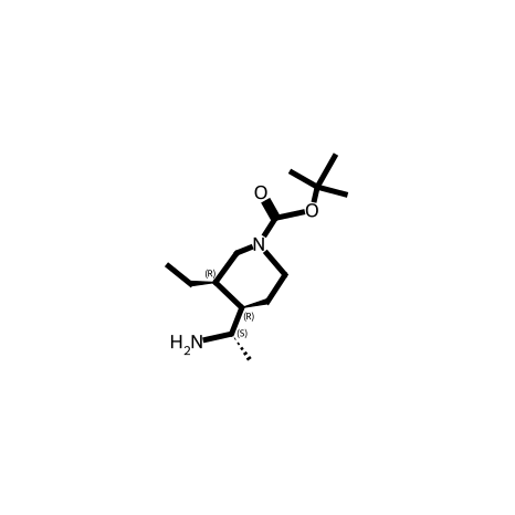 CC[C@H]1CN(C(=O)OC(C)(C)C)CC[C@H]1[C@H](C)N